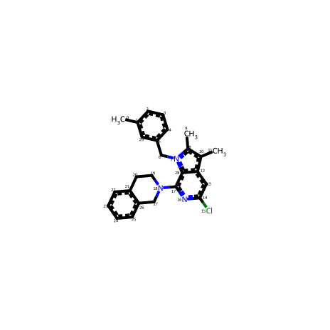 Cc1cccc(Cn2c(C)c(C)c3cc(Cl)nc(N4CCc5ccccc5C4)c32)c1